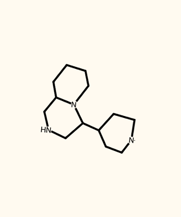 C1CCN2C(C1)CNCC2C1CC[N]CC1